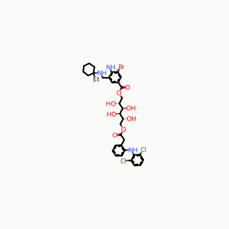 CCC1(NCc2cc(C(=O)OC[C@@H](O)[C@@H](O)[C@H](O)[C@H](O)COC(=O)Cc3ccccc3Nc3c(Cl)cccc3Cl)cc(Br)c2N)CCCCC1